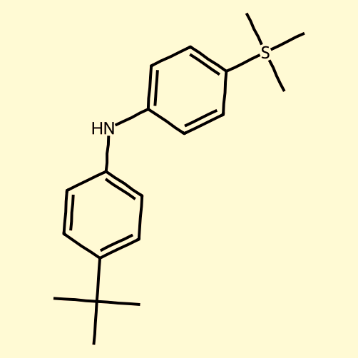 CC(C)(C)c1ccc(Nc2ccc(S(C)(C)C)cc2)cc1